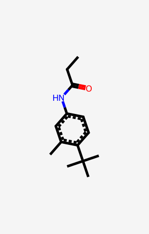 CCC(=O)Nc1ccc(C(C)(C)C)c(C)c1